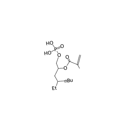 C=C(C)C(=O)OC(COP(=O)(O)O)CC(CC)CCCC